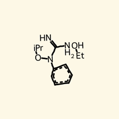 CC(C)ON(C(=N)N)c1ccccc1.CCO